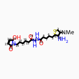 CNC1CSC(CCCCC(=O)NNC(=O)CCCCCN2C(=O)C=CC2O)C1N